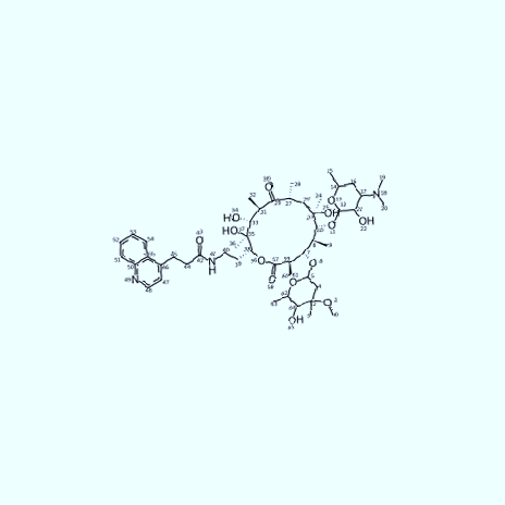 COC1(C)CC(O[C@H]2[C@H](C)[C@@H](OC3OC(C)CC(N(C)C)C3O)[C@](C)(O)C[C@@H](C)C(=O)[C@H](C)[C@@H](O)[C@](C)(O)[C@@H](CCNC(=O)CCc3ccnc4ccccc34)OC(=O)[C@@H]2C)OC(C)C1O